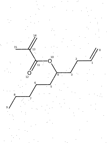 C=CCCC(CCCCC)OC(=O)C(=C)C